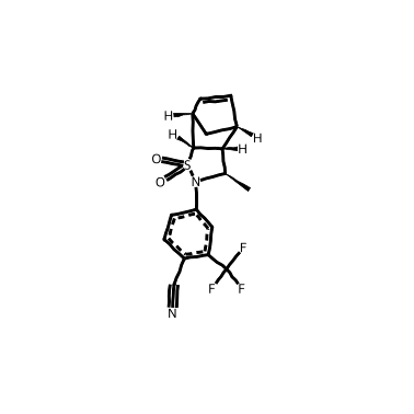 C[C@@H]1[C@@H]2[C@@H]([C@@H]3C=C[C@H]2C3)S(=O)(=O)N1c1ccc(C#N)c(C(F)(F)F)c1